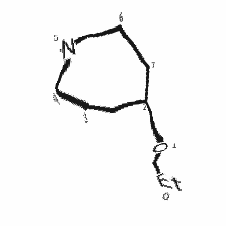 CCOC1CC[N]CC1